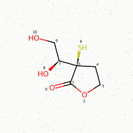 O=C1OCC[C@@]1(S)[C@@H](O)CO